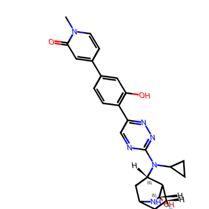 Cn1ccc(-c2ccc(-c3cnc(N(C4CC4)[C@H]4CC5C[C@@H](F)C4[C@H](O)N5)nn3)c(O)c2)cc1=O